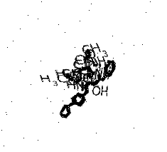 COC(=O)N[C@H](C(=O)N[C@@H](Cc1ccccc1)[C@@H](O)CN(Cc1ccc(-c2ccccc2)cc1)NC(=O)OC(C)(C)C)C(C)C